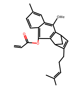 C=CC(=O)Oc1c2c(c(OC)c3cc(C)ccc13)C1C=C(CCC=C(C)C)C2C1